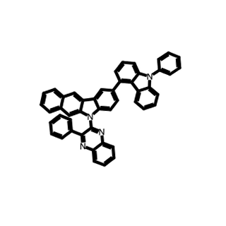 c1ccc(-c2nc3ccccc3nc2-n2c3ccc(-c4cccc5c4c4ccccc4n5-c4ccccc4)cc3c3cc4ccccc4cc32)cc1